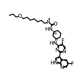 CCCOCCCCCCCN(C)C(=O)N[C@@H]1CCC[C@H](Nc2nc(-c3c[nH]c4ncc(F)cc34)ncc2F)C1